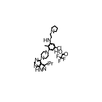 Cc1c(NCCN2CCCC2)cc(Cl)cc1N1CCN(c2ncnc3[nH]nc(C(C)C)c23)CC1.O=C(O)C(F)(F)F